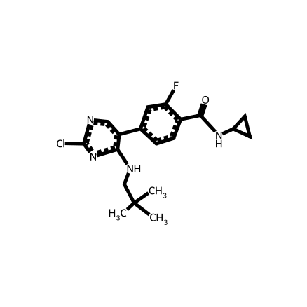 CC(C)(C)CNc1nc(Cl)ncc1-c1ccc(C(=O)NC2CC2)c(F)c1